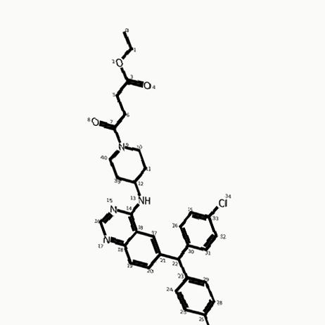 CCOC(=O)CCC(=O)N1CCC(Nc2ncnc3ccc(C(c4ccc(Cl)cc4)c4ccc(Cl)cc4)cc23)CC1